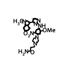 COc1cc(N2CCN(CCC(N)=O)CC2)c([N+](=O)[O-])cc1Nc1nccc(-c2cn(C)c3ccccc23)n1